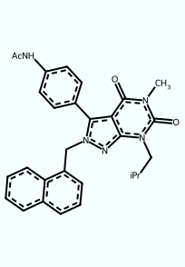 CC(=O)Nc1ccc(-c2c3c(=O)n(C)c(=O)n(CC(C)C)c3nn2Cc2cccc3ccccc23)cc1